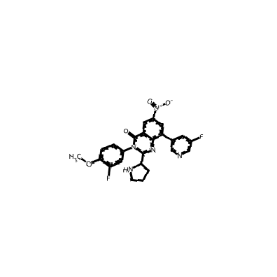 COc1ccc(-n2c(C3CCCN3)nc3c(-c4cncc(F)c4)cc([N+](=O)[O-])cc3c2=O)cc1F